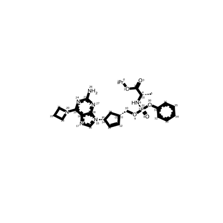 CC(C)OC(=O)[C@H](C)N[P@](=O)(OC[C@@H]1C=C[C@H](n2cnc3c(N4CCC4)nc(N)nc32)C1)Oc1ccccc1